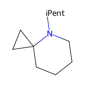 CCCC(C)N1CCCCC12CC2